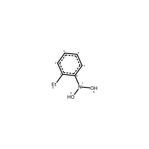 CCc1ccccc1N(O)O